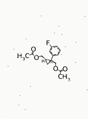 CC(=O)OC[C@@H]1C[C@@]1(COC(C)=O)c1cccc(F)c1